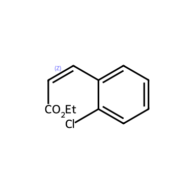 CCOC(=O)/C=C\c1ccccc1Cl